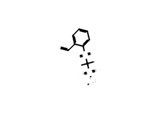 C=Cc1ccccc1S(=O)(=O)C(F)(F)S(=O)(=O)NF